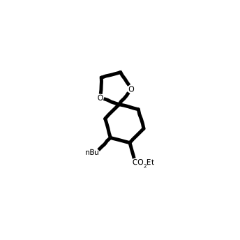 CCCCC1CC2(CCC1C(=O)OCC)OCCO2